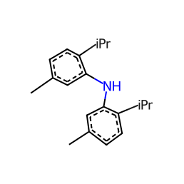 Cc1ccc(C(C)C)c(Nc2cc(C)ccc2C(C)C)c1